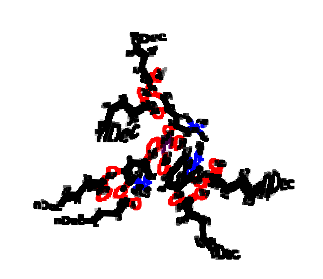 CCCCCCCCCCCCCC(=O)OCC(CC(C[N+](C)(C)C)OP(=O)(OC(CC(COC(=O)CCCCCCCCCCCCC)OC(=O)CCCCCCCCCCCCC)C[N+](C)(C)C)OC(CC(COC(=O)CCCCCCCCCCCCC)OC(=O)CCCCCCCCCCCCC)C[N+](C)(C)C)OC(=O)CCCCCCCCCCCCC